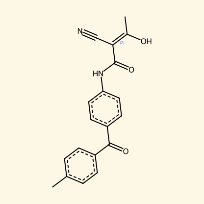 C/C(O)=C(\C#N)C(=O)Nc1ccc(C(=O)c2ccc(C)cc2)cc1